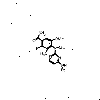 CCNc1ccnc(N(c2c(OC)cc(C(N)=O)c(F)c2C)C(F)(F)F)n1